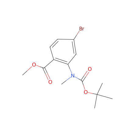 COC(=O)c1ccc(Br)cc1N(C)C(=O)OC(C)(C)C